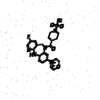 CCS(=O)(=O)N1CCC(C(=O)N2Cc3cc(F)cnc3Nc3ccc(N4CC5CCCC4CO5)cc32)CC1